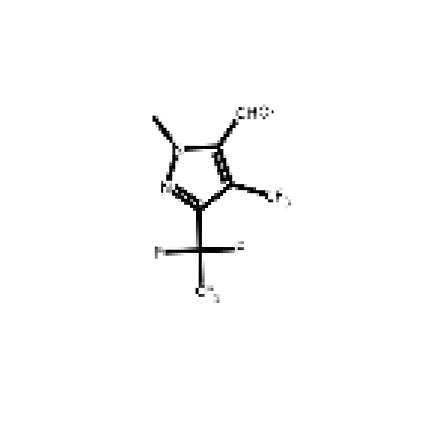 Cn1nc(C(F)(F)C(F)(F)F)c(C(F)(F)F)c1[C]=O